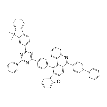 CC1(C)c2ccccc2-c2ccc(-c3nc(-c4ccccc4)nc(-c4ccc(-c5c6c(cc7c(-c8ccc(-c9ccccc9)cc8)nc8ccccc8c57)oc5ccccc56)cc4)n3)cc21